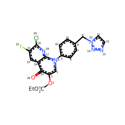 CCOC(=O)Oc1cn(-c2ccc(Cn3ccnn3)cc2)c2nc(Cl)c(F)cc2c1=O